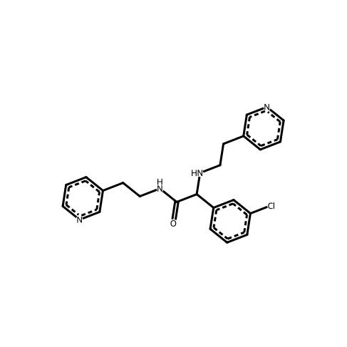 O=C(NCCc1cccnc1)C(NCCc1cccnc1)c1cccc(Cl)c1